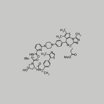 COC(=O)CC[C@@H]1N=C(c2ccc(N3CCN(c4cccc(C(=O)N[C@H](C(=O)N5C[C@H](O)C[C@H]5C(=O)N[C@@H](C)c5ccc(-c6scnc6C)cc5)C(C)(C)C)n4)CC3)cc2)c2c(sc(C)c2C)-n2c(C)nnc21